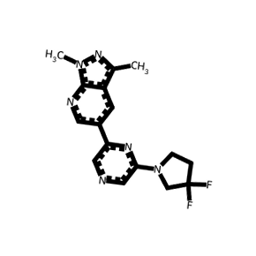 Cc1nn(C)c2ncc(-c3cncc(N4CCC(F)(F)C4)n3)cc12